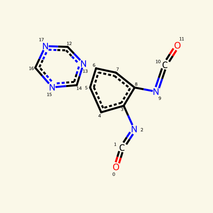 O=C=Nc1ccccc1N=C=O.c1ncncn1